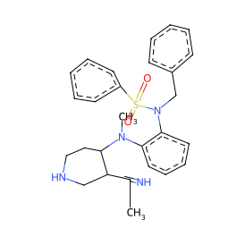 CC(=N)C1CNCCC1N(C)c1ccccc1N(Cc1ccccc1)S(=O)(=O)c1ccccc1